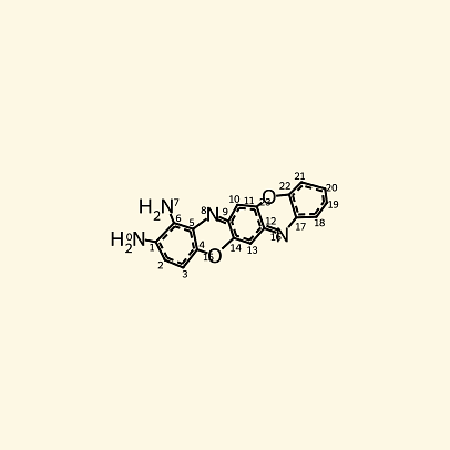 Nc1ccc2c(c1N)N=c1cc3c(cc1O2)=Nc1ccccc1O3